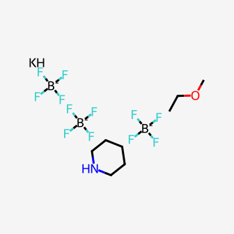 C1CCNCC1.CCOC.F[B-](F)(F)F.F[B-](F)(F)F.F[B-](F)(F)F.[KH]